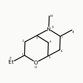 CCC1CC2CC(CC(C)N2C)O1